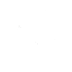 Nc1cccc2oc(=S)[nH]c12